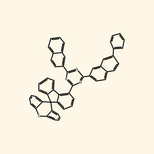 c1ccc(-c2ccc3ccc(-c4nc(-c5ccc6ccccc6c5)nc(-c5cccc6c5-c5ccccc5C65c6ccccc6Oc6ccccc65)n4)cc3c2)cc1